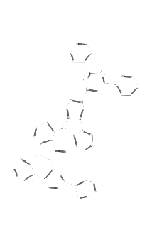 O=C1c2c(cccc2-n2c3ccccc3c3cc(-c4nc(-c5ccccc5)nc(-c5ccccc5)n4)ccc32)C(O)N1c1cc(-c2ccccc2)ccc1-c1ccccc1